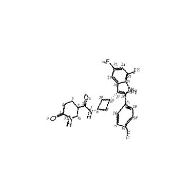 O=C1CCC(C(=O)N[C@H]2C[C@@H](c3c(-c4ccc(F)cc4)[nH]c4c(F)cc(F)cc43)C2)CN1